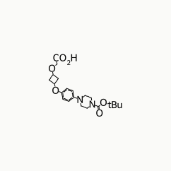 CC(C)(C)OC(=O)N1CCN(c2ccc(OC3CC(OCC(=O)O)C3)cc2)CC1